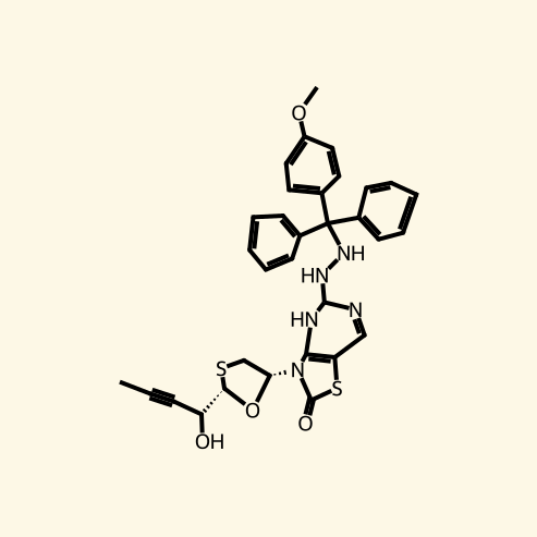 CC#CC(O)[C@H]1O[C@@H](n2c3c(sc2=O)C=NC(NNC(c2ccccc2)(c2ccccc2)c2ccc(OC)cc2)N3)CS1